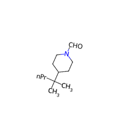 CCCC(C)(C)C1CCN(C=O)CC1